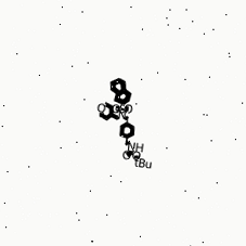 CC(C)(C)OC(=O)NC[C@H]1CC[C@H](CN(CC2CCOCC2)S(=O)(=O)c2ccc3ccccc3c2)CC1